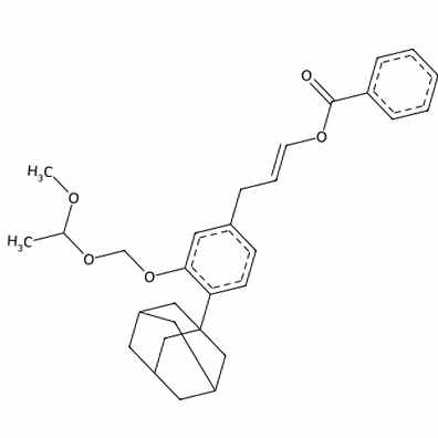 COC(C)OCOc1cc(CC=COC(=O)c2ccccc2)ccc1C12CC3CC(CC(C3)C1)C2